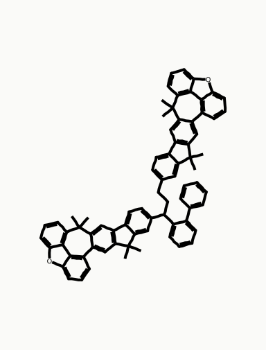 CC1(C)c2cc(CCC(c3ccc4c(c3)C(C)(C)c3cc5c(cc3-4)C(C)(C)c3cccc4oc6cccc-5c6c34)c3ccccc3-c3ccccc3)ccc2-c2cc3c(cc21)-c1cccc2oc4cccc(c4c12)C3(C)C